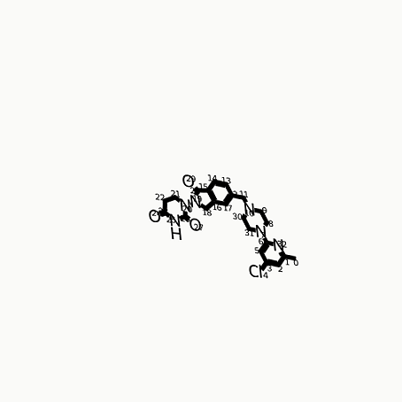 Cc1cc(Cl)cc(N2CCN(Cc3ccc4c(c3)CN(N3CCC(=O)NC3=O)C4=O)CC2)n1